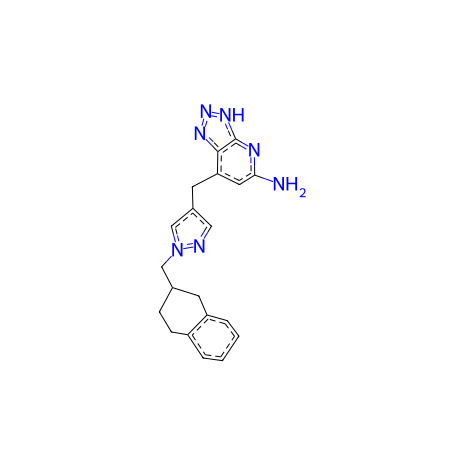 Nc1cc(Cc2cnn(CC3CCc4ccccc4C3)c2)c2nn[nH]c2n1